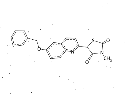 CN1C(=O)SC(c2ccc3cc(OCc4ccccc4)ccc3n2)C1=O